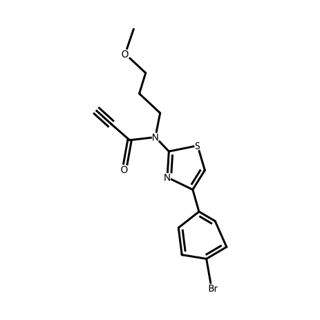 C#CC(=O)N(CCCOC)c1nc(-c2ccc(Br)cc2)cs1